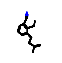 C=C(C)C[CH]c1cccc(C#N)c1CC